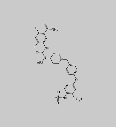 CCCCN(C(=O)Nc1cc(C(N)=O)c(F)cc1F)C1CCN(Cc2ccc(Oc3ccc(NS(C)(=O)=O)c(C(=O)O)c3)cc2)CC1